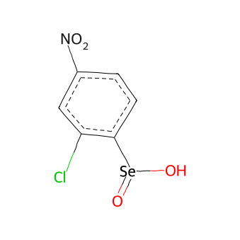 O=[N+]([O-])c1ccc([Se](=O)O)c(Cl)c1